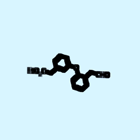 CCOC(=O)Cc1cccc(Oc2ccccc2CC=O)c1